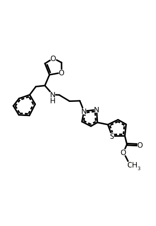 COC(=O)c1ccc(-c2ccn(CCCNC(Cc3ccccc3)C3=COCO3)n2)s1